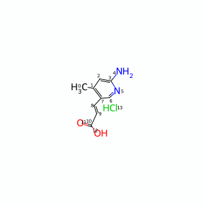 Cc1cc(N)ncc1/C=C/C(=O)O.Cl